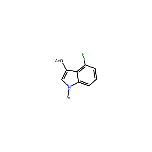 CC(=O)Oc1cn(C(C)=O)c2cccc(F)c12